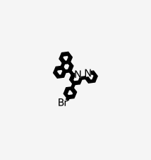 Brc1ccc(-c2cc(-c3ccccn3)nc(-c3cc4ccccc4c4ccccc34)c2)cc1